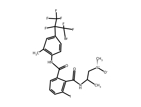 Cc1cc(C(F)(C(F)(F)F)C(F)(F)Br)ccc1NC(=O)c1cccc(I)c1C(=O)NC(C)C[S@+](C)[O-]